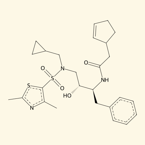 Cc1nc(C)c(S(=O)(=O)N(CC2CC2)C[C@@H](O)[C@H](Cc2ccccc2)NC(=O)CC2C=CCC2)s1